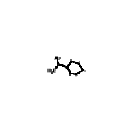 C[CH]C(C)C1CCCCC1